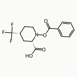 O=C(ON1CC[C@@H](C(F)(F)F)C[C@H]1C(=O)O)c1ccccc1